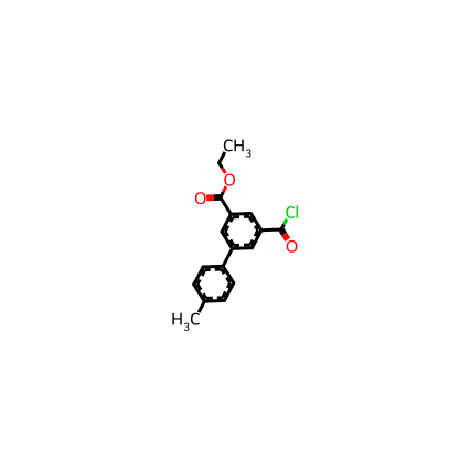 CCOC(=O)c1cc(C(=O)Cl)cc(-c2ccc(C)cc2)c1